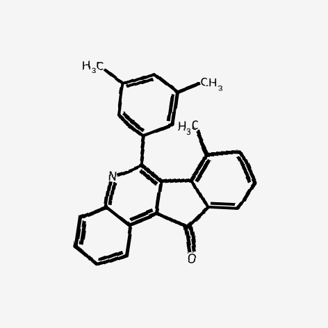 Cc1cc(C)cc(-c2nc3ccccc3c3c2-c2c(C)cccc2C3=O)c1